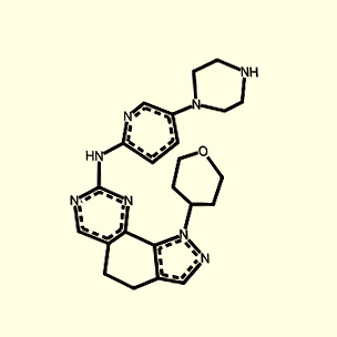 c1cc(Nc2ncc3c(n2)-c2c(cnn2C2CCOCC2)CC3)ncc1N1CCNCC1